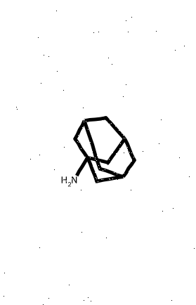 NC12[CH]C3CC(CC(C3)C1)C2